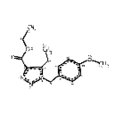 CCOC(=O)c1nnn(Cc2ccc(OC)cc2)c1CC